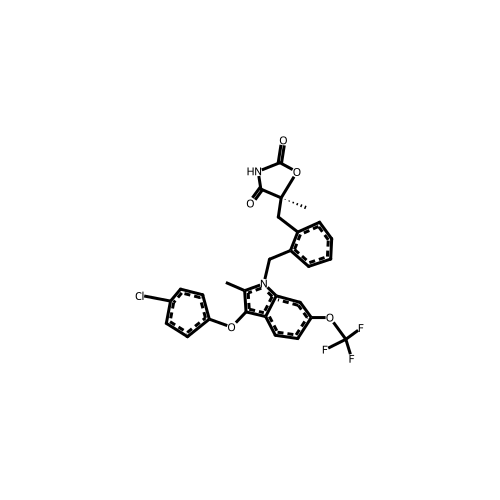 Cc1c(Oc2ccc(Cl)cc2)c2ccc(OC(F)(F)F)cc2n1Cc1ccccc1C[C@]1(C)OC(=O)NC1=O